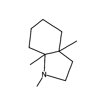 CN1CCC2(C)CCCCC12C